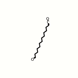 O=C=CCCCCCCCCCCCC=O